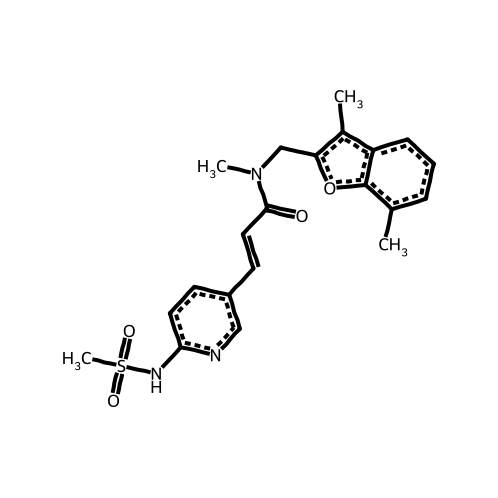 Cc1c(CN(C)C(=O)/C=C/c2ccc(NS(C)(=O)=O)nc2)oc2c(C)cccc12